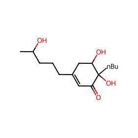 CCCCC1(O)C(=O)C=C(CCCC(C)O)CC1O